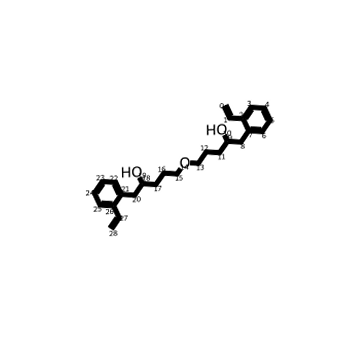 C=Cc1ccccc1CC(O)CCCOCCCC(O)Cc1ccccc1C=C